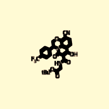 CC(C)(C)OC(=O)CNC(=O)c1c(O)c2ccc(C#N)c3c2n(c1=O)C(c1ccc(C(F)(F)F)cc1)CO3